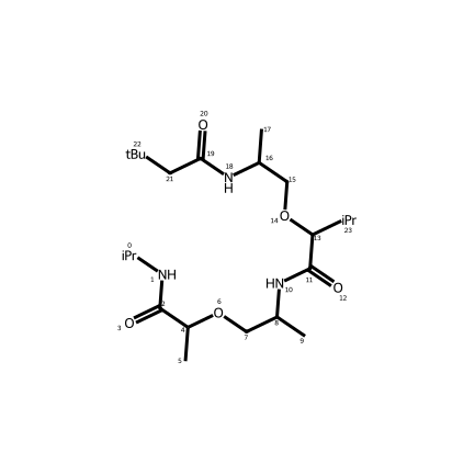 CC(C)NC(=O)C(C)OCC(C)NC(=O)C(OCC(C)NC(=O)CC(C)(C)C)C(C)C